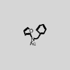 CC(=O)N(Cc1ccccc1)c1ccco1